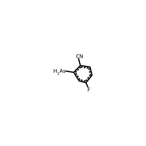 N#Cc1ccc(F)cc1[AsH2]